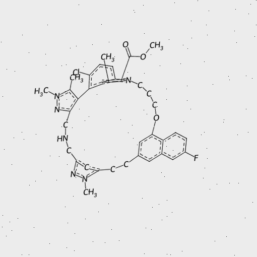 COC(=O)c1c(C)c2c3c(Cl)ccc2n1CCCOc1cc(cc2cc(F)ccc12)CCc1cc(nn1C)CNCc1nn(C)c(C)c1-3